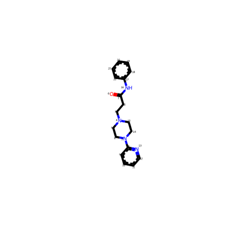 O=C(CCN1CCN(c2ccccn2)CC1)Nc1ccccc1